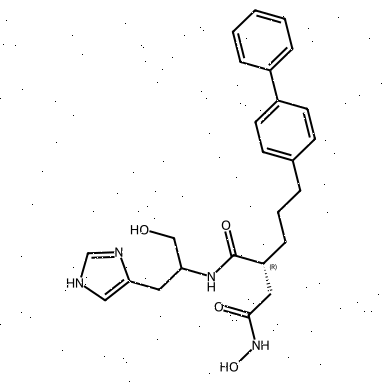 O=C(C[C@@H](CCCc1ccc(-c2ccccc2)cc1)C(=O)NC(CO)Cc1c[nH]cn1)NO